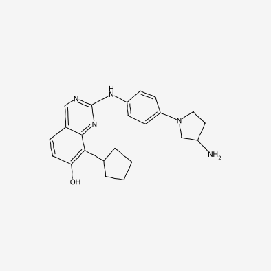 NC1CCN(c2ccc(Nc3ncc4ccc(O)c(C5CCCC5)c4n3)cc2)C1